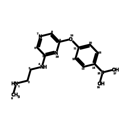 CNCCNc1cncc(Oc2ccc(B(O)O)cc2)n1